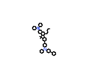 C/C=C\C=C/c1cc2cc(N(c3ccccc3)c3ccccc3)ccc2c2c1-c1ccc(-c3ccc(N(c4ccccc4)c4ccc(-c5ccccc5)cc4)cc3)cc1C2(C)C